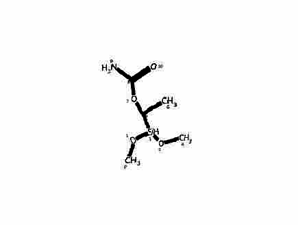 CO[SiH](OC)C(C)OC(N)=O